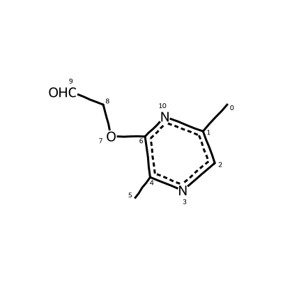 Cc1cnc(C)c(OCC=O)n1